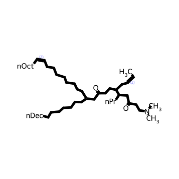 C/C=C\CC(CCC(=O)CC(CCCCCCCC/C=C\CCCCCCCC)CCCCCCCCCCCCCCCCC)C(CCC)CC(=O)CCN(C)C